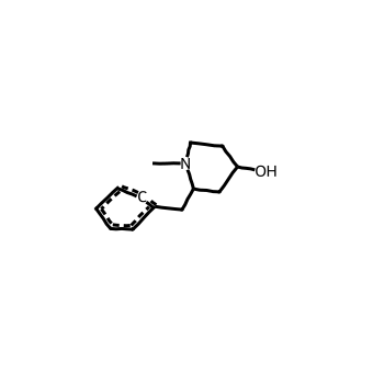 CN1CCC(O)CC1Cc1ccccc1